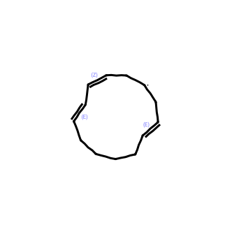 [CH]1C/C=C\C=C\CCCC/C=C/C1